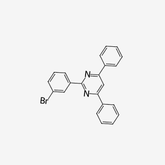 Brc1cccc(-c2nc(-c3ccccc3)cc(-c3ccccc3)n2)c1